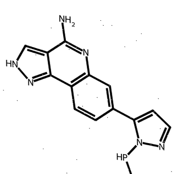 Nc1nc2cc(-c3ccnn3PI)ccc2c2n[nH]cc12